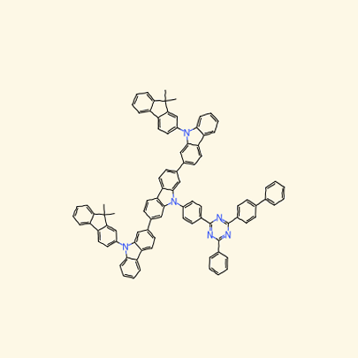 CC1(C)c2ccccc2-c2ccc(-n3c4ccccc4c4ccc(-c5ccc6c7ccc(-c8ccc9c%10ccccc%10n(-c%10ccc%11c(c%10)C(C)(C)c%10ccccc%10-%11)c9c8)cc7n(-c7ccc(-c8nc(-c9ccccc9)nc(-c9ccc(-c%10ccccc%10)cc9)n8)cc7)c6c5)cc43)cc21